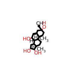 C#C[C@]1(O)CC[C@@]2(C)C(=C[C@H](O)[C@H]3[C@@H]4C[C@@H](O)[C@H](O)[C@@]4(C)CC[C@@H]32)C1